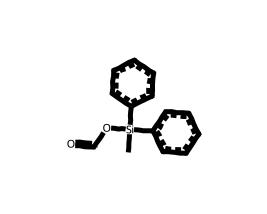 C[Si](O[C]=O)(c1ccccc1)c1ccccc1